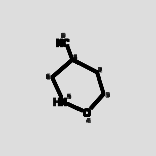 N#CC1CCONC1